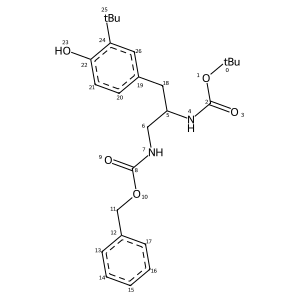 CC(C)(C)OC(=O)NC(CNC(=O)OCc1ccccc1)Cc1ccc(O)c(C(C)(C)C)c1